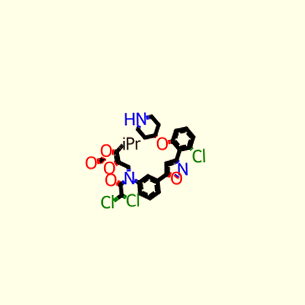 CC(C)c1oc(=O)oc1CN(C(=O)C(Cl)Cl)c1cccc(-c2cc(-c3c(Cl)cccc3OC3CCNCC3)no2)c1